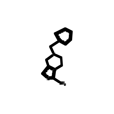 Nc1ncc2n1CCN(Cc1ccccc1)C2